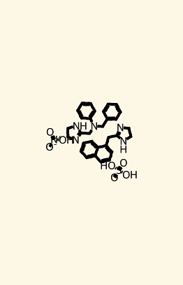 O=S(=O)(O)O.O=[N+]([O-])O.c1ccc(CN(CC2=NCCN2)c2ccccc2)cc1.c1ccc2c(CC3=NCCN3)cccc2c1